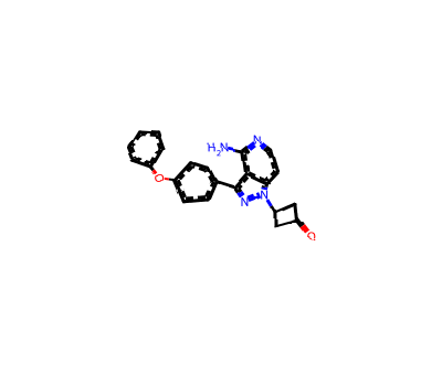 Nc1nccc2c1c(-c1ccc(Oc3ccccc3)cc1)nn2C1CC(=O)C1